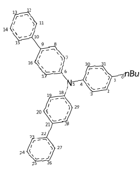 CCCCc1ccc(N(c2ccc(-c3ccccc3)cc2)c2ccc(-c3ccccc3)cc2)cc1